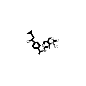 CCN1C(=O)OCc2cnc(NC(C)c3ccc(C(Cl)CC4CC4)cc3)nc21